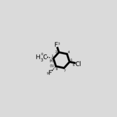 C[C@@H]1C(F)CC(Cl)C[C@@H]1F